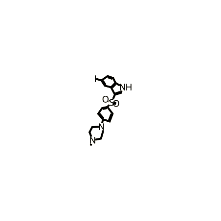 CN1CCN(c2ccc(S(=O)(=O)c3c[nH]c4ccc(I)cc34)cc2)CC1